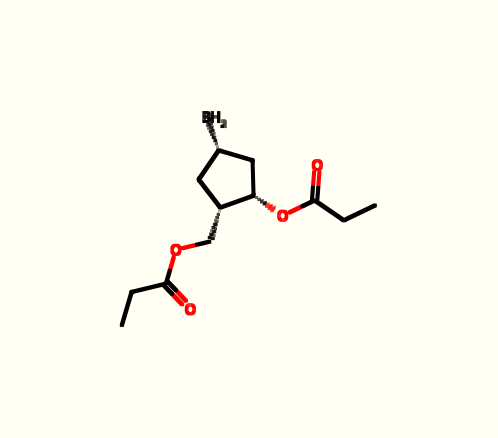 B[C@H]1C[C@@H](COC(=O)CC)[C@@H](OC(=O)CC)C1